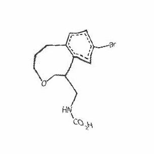 O=C(O)NCC1OCCc2ccc(Br)cc21